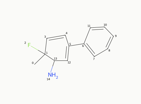 CC1(F)C=CC(c2ccccc2)=CC1N